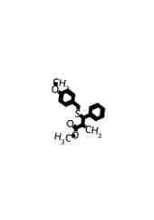 COC(=O)C(C)C(SCc1ccc(OC)cc1)c1ccccc1